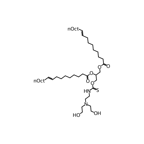 CCCCCCCCC=CCCCCCCCC(=O)OCC(COC(=S)NCCN(CCO)CCO)OC(=O)CCCCCCCC=CCCCCCCCC